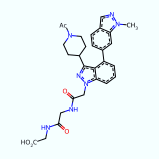 CC(=O)N1CCC(c2nn(CC(=O)NCC(=O)NCC(=O)O)c3cccc(-c4ccc5cnn(C)c5c4)c23)CC1